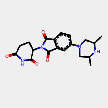 CC1CN(c2ccc3c(c2)C(=O)N(C2CCC(=O)NC2=O)C3=O)CC(C)N1